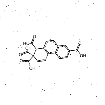 O=C(O)c1ccc2c3c(ccc2c1)C(C(=O)O)C(C(=O)O)(C(=O)O)C=C3